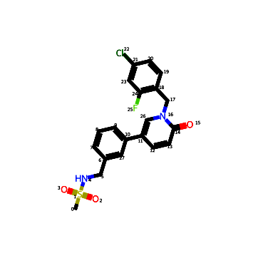 CS(=O)(=O)NCc1cccc(-c2ccc(=O)n(Cc3ccc(Cl)cc3F)c2)c1